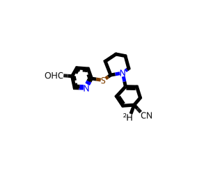 [2H]C1(C#N)C=CC(N2CCCCC2Sc2ccc(C=O)cn2)=CC1